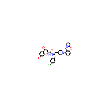 COc1ccc2c(=O)cc(C(=O)N[C@H](C=C3CCN(c4ccccc4CN4CCCC4=O)CC3)Cc3ccc(Cl)cc3)oc2c1